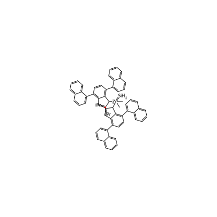 CC(C)C1=Cc2c(-c3cccc4ccccc34)ccc(-c3cccc4ccccc34)c2[CH]1[Zr]([CH3])([CH3])(=[SiH2])[CH]1C(C(C)C)=Cc2c(-c3cccc4ccccc34)ccc(-c3cccc4ccccc34)c21